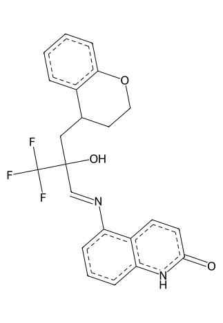 O=c1ccc2c(N=CC(O)(CC3CCOc4ccccc43)C(F)(F)F)cccc2[nH]1